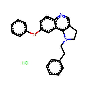 Cl.c1ccc(CCN2CCc3cnc4ccc(Oc5ccccc5)cc4c32)cc1